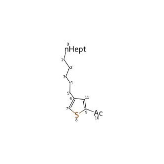 CCCCCCCCCCCCc1csc(C(C)=O)c1